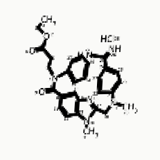 CCOC(=O)CCN(C(=O)c1ccc2c(c1)nc(CN(C)c1ccc(C(=N)N)cc1)n2C)c1ccccc1.Cl